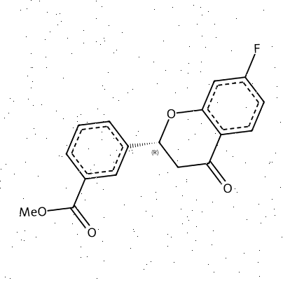 COC(=O)c1cccc([C@H]2CC(=O)c3ccc(F)cc3O2)c1